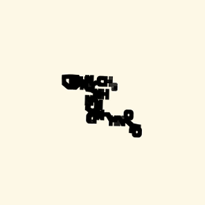 Cc1nn(C2CC3CCC(C2)N3C)cc1Nc1ncc(Cl)c(NCCCNC(=O)C2COC2)n1